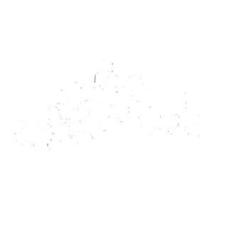 CCC1(CC)CC(=O)N(Cc2cccc(C(=O)NC3c4ccccc4OCC3(O)Cc3cccc4c3[C@@H](NC(=O)c3cccc(CN5C(=N)N[C@@](CC6CC6)(c6ccccc6)CC5=O)c3)[C@H](O)C4)c2)C(=N)N1